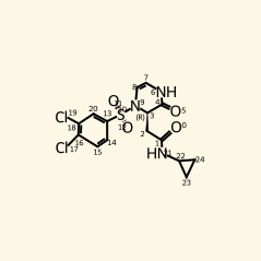 O=C(C[C@@H]1C(=O)NC=CN1S(=O)(=O)c1ccc(Cl)c(Cl)c1)NC1CC1